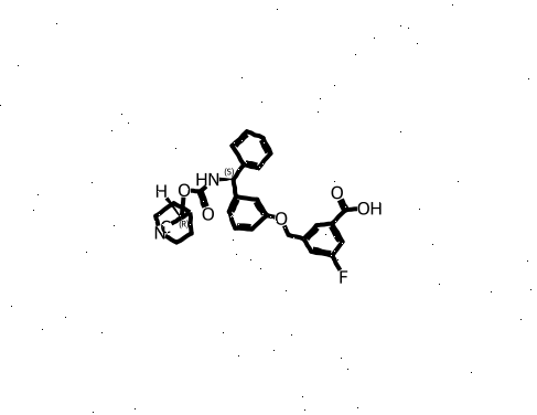 O=C(N[C@@H](c1ccccc1)c1cccc(OCc2cc(F)cc(C(=O)O)c2)c1)O[C@H]1CN2CCC1CC2